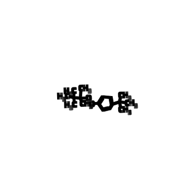 CC(C)(C)c1ccc(OOC(C)(C)C(C)(C)C)cc1